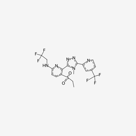 CCS(=O)(=O)c1ccc(NCC(F)(F)F)nc1-c1nnc(-c2cc(C(F)(F)F)ccn2)n1C